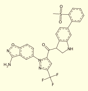 CS(=O)(=O)c1ccccc1-c1ccc2c(c1)NCC2C(=O)c1cc(C(F)(F)F)nn1-c1ccc2onc(N)c2c1